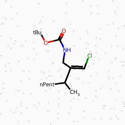 CCCCCC(C)C(=CCl)CNC(=O)OC(C)(C)C